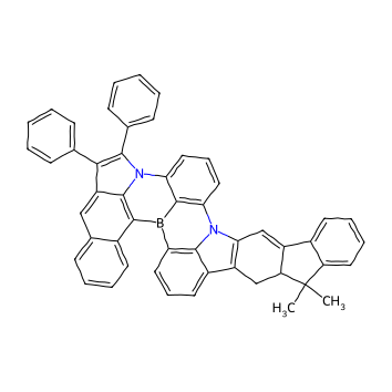 CC1(C)c2ccccc2C2=Cc3c(c4cccc5c4n3-c3cccc4c3B5c3c5ccccc5cc5c(-c6ccccc6)c(-c6ccccc6)n-4c35)CC21